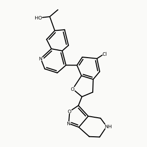 CC(O)c1ccc2c(-c3cc(Cl)cc4c3OC(c3onc5c3CNCC5)C4)ccnc2c1